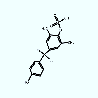 CCC(CC)(c1ccc(O)cc1)c1cc(C)c(OS(C)(=O)=O)c(C)c1